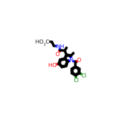 Cc1c(C(C)C(=O)NCCC(=O)O)c2cc(O)ccc2n1C(=O)c1ccc(Cl)c(Cl)c1